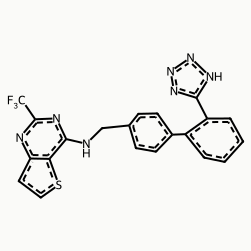 FC(F)(F)c1nc(NCc2ccc(-c3ccccc3-c3nnn[nH]3)cc2)c2sccc2n1